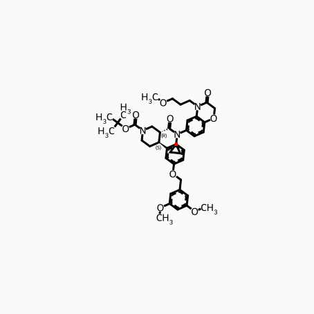 COCCCN1C(=O)COc2ccc(N(C(=O)[C@H]3CN(C(=O)OC(C)(C)C)CC[C@@H]3c3cccc(OCc4cc(OC)cc(OC)c4)c3)C3CC3)cc21